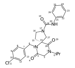 CC(C)N1CC(=O)N(Cc2ccc(Cl)cc2)[C@]2(CCN(C(=O)Nc3ccccc3)C2)C1=O